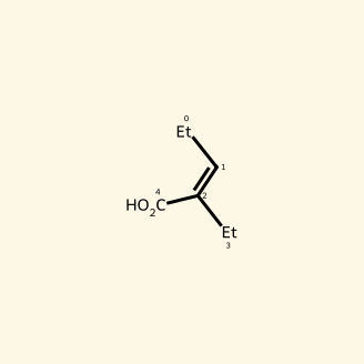 [CH2]CC=C(CC)C(=O)O